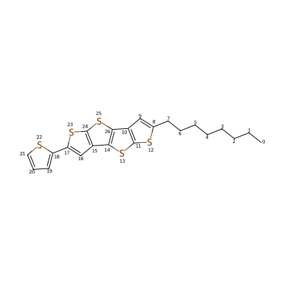 CCCCCCCCc1cc2c(s1)sc1c3cc(-c4cccs4)sc3sc21